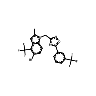 Cc1cc2c(C(F)(F)F)c(Br)ccc2n1Cc1noc(-c2cccc(C(F)(F)F)c2)n1